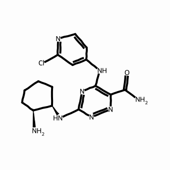 NC(=O)c1nnc(N[C@@H]2CCCC[C@@H]2N)nc1Nc1ccnc(Cl)c1